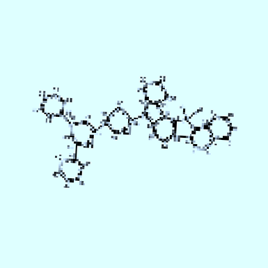 CC1(C)c2c(ccc3ccccc23)-c2ccc3c(c21)c1ccccc1n3-c1ccc(-c2cc(-c3ccccc3)cc(-c3ccccc3)n2)cn1